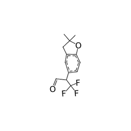 CC1(C)Cc2cc(C(C=O)C(F)(F)F)ccc2O1